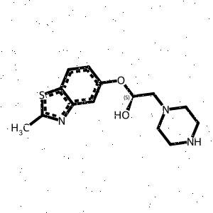 Cc1nc2cc(O[C@H](O)CN3CCNCC3)ccc2s1